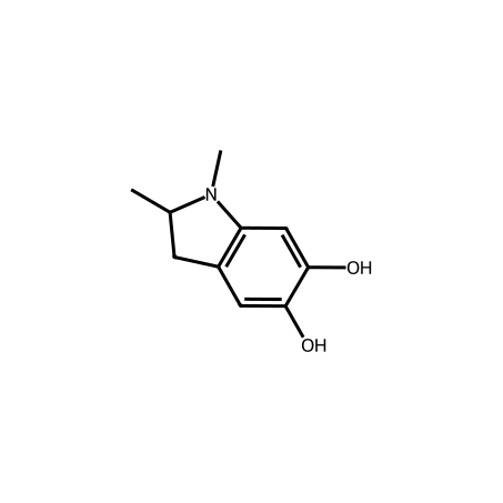 CC1Cc2cc(O)c(O)cc2N1C